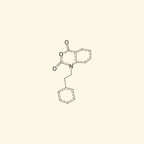 O=c1oc(=O)n(CCc2ccccc2)c2ccccc12